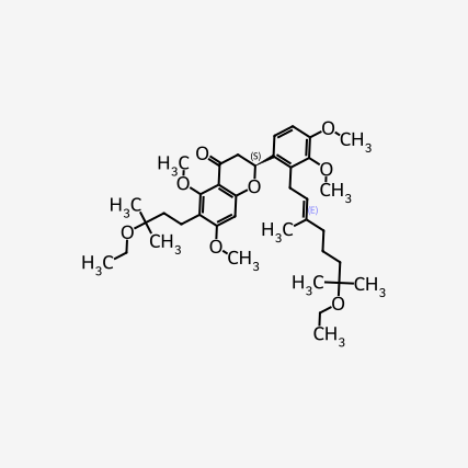 CCOC(C)(C)CCC/C(C)=C/Cc1c([C@@H]2CC(=O)c3c(cc(OC)c(CCC(C)(C)OCC)c3OC)O2)ccc(OC)c1OC